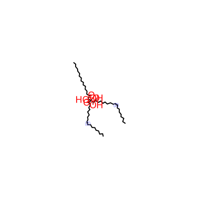 CCCCCCCC/C=C\CCCCCCCC(=O)C(O)C(O)(C(=O)CCCCCCC/C=C\CCCCCCCC)C(O)C(=O)CCCCCCCCCCCCCCC